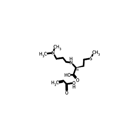 C=CC(=O)O.CSCC[C@H](NCCCN(C)C)C(=O)O